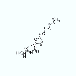 CCCCCOCC1O[C@H](n2ccc(NC)nc2=O)CS1